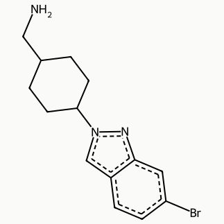 NCC1CCC(n2cc3ccc(Br)cc3n2)CC1